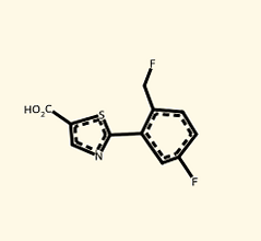 O=C(O)c1cnc(-c2cc(F)ccc2CF)s1